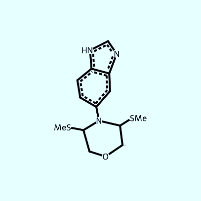 CSC1[CH]OCC(SC)N1c1ccc2[nH]cnc2c1